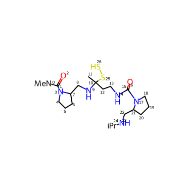 CNC(=O)N1CCCC1CNC(C)(CCNC(=O)N1CCCC1CNC(C)C)SS